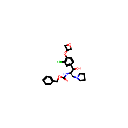 O=C(N[C@H](CN1CCCC1)C(O)c1ccc(OC2COC2)c(Cl)c1)OCc1ccccc1